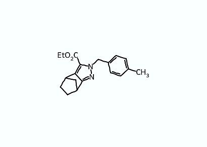 CCOC(=O)c1c2c(nn1Cc1ccc(C)cc1)C1CCC2C1